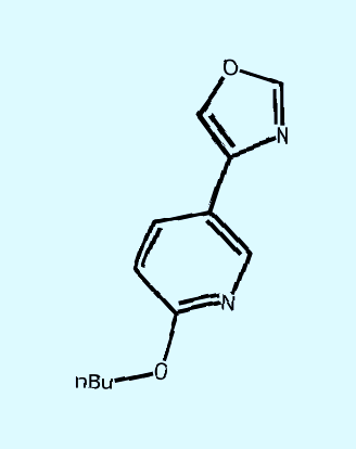 CCCCOc1ccc(-c2cocn2)cn1